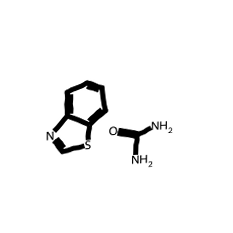 NC(N)=O.c1ccc2scnc2c1